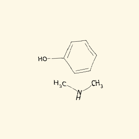 CNC.Oc1ccccc1